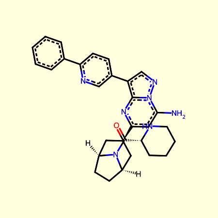 Nc1cc([C@H]2C[C@H]3CC[C@@H](C2)N3C(=O)[C@H]2CCCCN2)nc2c(-c3ccc(-c4ccccc4)nc3)cnn12